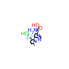 Cc1ccc(C(F)(F)F)c(-c2ccc(C[C@H](N)C(=O)O)n3ccnc23)n1.Cl